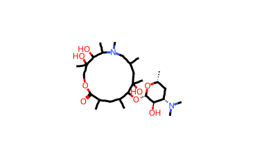 CC1CN(C)C(C)C(O)C(C)(O)COC(=O)C(C)CC(C)C(O[C@@H]2O[C@H](C)C[C@H](N(C)C)[C@H]2O)C(C)(O)C1